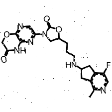 Cc1ncc(F)c2c1CC(NCCCC1CN(c3cnc4c(n3)NC(=O)CO4)C(=O)O1)C2